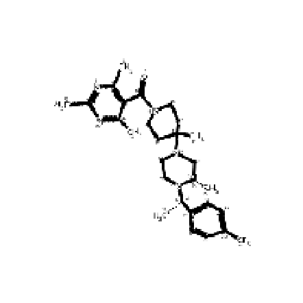 Cc1nc(C)c(C(=O)N2CCC(C)(N3CCN([C@@H](C)c4ccc(C(F)(F)F)cc4)[C@@H](C)C3)CC2)c(C)n1